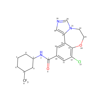 O=C(NC1CCCC(C(F)(F)F)C1)c1cc(Cl)c2c(c1)-c1cncn1CCO2